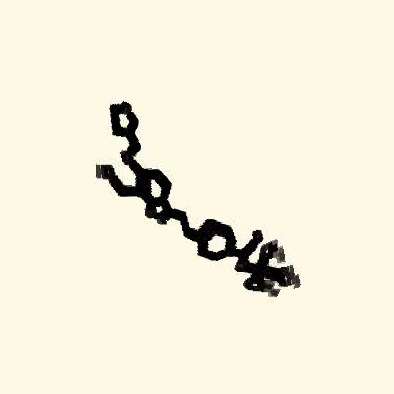 CC(C)(C)OC(=O)N1CCC(CCc2noc3c(CO)c(OCC4CCOC4)ccc23)CC1